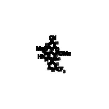 COC(=O)C1=C(C)N(c2cccc(C(F)(F)F)c2)c2n[nH]c(=O)n2[C@@H]1c1ccc(C#N)cc1OC